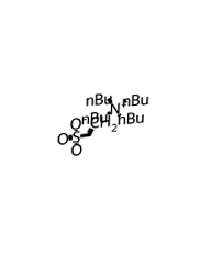 C=CS(=O)(=O)[O-].CCCC[N+](CCCC)(CCCC)CCCC